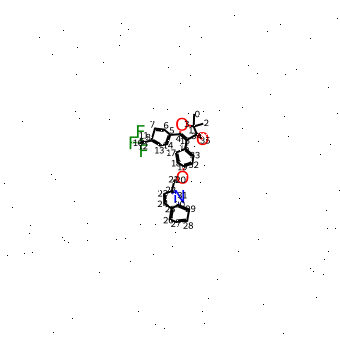 CC1(C)OC(c2ccc(C(F)(F)F)cc2)=C(c2ccc(OCc3ccc4ccccc4n3)cc2)C1=O